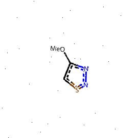 COc1csnn1